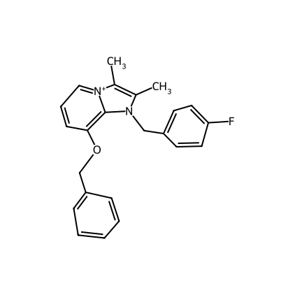 Cc1c(C)[n+]2cccc(OCc3ccccc3)c2n1Cc1ccc(F)cc1